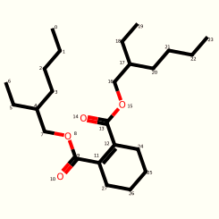 CCCCC(CC)COC(=O)C1=C(C(=O)OCC(CC)CCCC)CCCC1